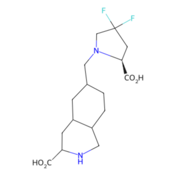 O=C(O)C1CC2CC(CN3CC(F)(F)C[C@H]3C(=O)O)CCC2CN1